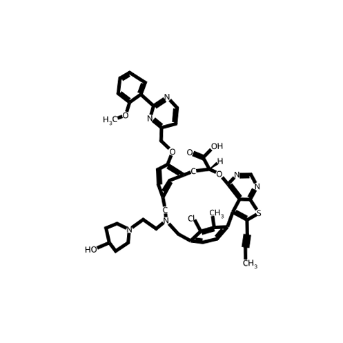 CC#Cc1sc2ncnc3c2c1-c1ccc(c(Cl)c1C)CN(CCN1CCC(O)CC1)Cc1ccc(OCc2ccnc(-c4ccccc4OC)n2)c(c1)C[C@H](C(=O)O)O3